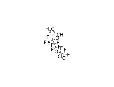 C=CCC(OC)(C(F)(F)F)C(F)(F)C(F)(F)OC(F)(Cl)C(F)(F)Cl